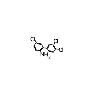 Nc1ccc(Cl)cc1-c1ccc(Cl)c(Cl)c1